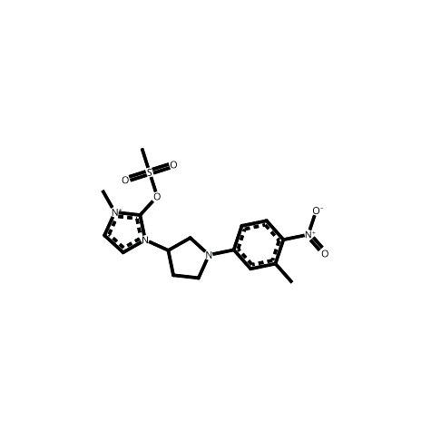 Cc1cc(N2CCC(n3cc[n+](C)c3OS(C)(=O)=O)C2)ccc1[N+](=O)[O-]